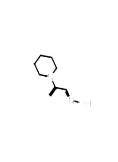 C=C(/C=N/O)N1CCCCC1